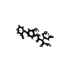 CC(C)(C)CN(CC(F)(F)F)[C@H](C(N)=O)C(=O)Nc1ccc(N2CCOCC2=O)cc1C(F)(F)F